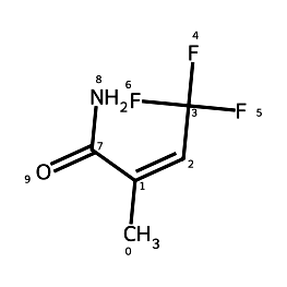 CC(=CC(F)(F)F)C(N)=O